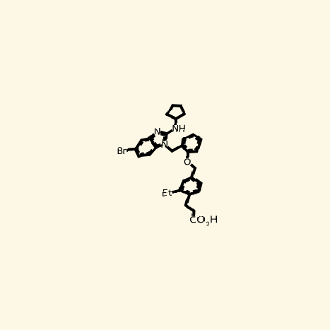 CCc1cc(COc2ccccc2Cn2c(NC3CCCC3)nc3cc(Br)ccc32)ccc1CCC(=O)O